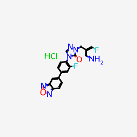 Cl.NC/C(=C\F)Cn1ncn(-c2ccc(-c3ccc4nonc4c3)cc2F)c1=O